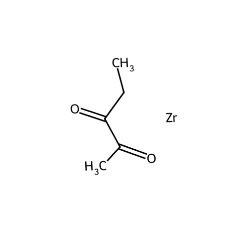 CCC(=O)C(C)=O.[Zr]